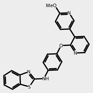 COc1ccc(-c2cccnc2Oc2ccc(Nc3nc4ccccc4s3)cc2)cn1